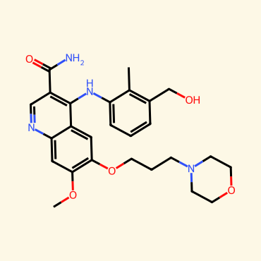 COc1cc2ncc(C(N)=O)c(Nc3cccc(CO)c3C)c2cc1OCCCN1CCOCC1